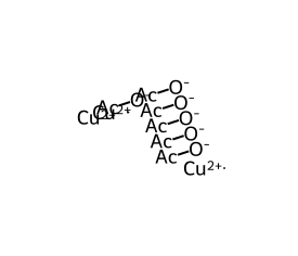 CC(=O)[O-].CC(=O)[O-].CC(=O)[O-].CC(=O)[O-].CC(=O)[O-].CC(=O)[O-].[Cu+2].[Cu+2].[Cu+2]